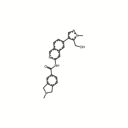 CN1Cc2ccc(C(=O)Nc3cc4cc(-c5cnn(C)c5CO)ccc4cn3)cc2C1